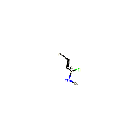 CCN[SiH](Cl)C=CC(C)C